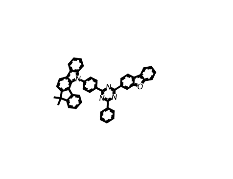 CC1(C)c2ccccc2-c2c1ccc1c3ccccc3n(-c3ccc(-c4nc(-c5ccccc5)nc(-c5ccc6c(c5)oc5ccccc56)n4)cc3)c21